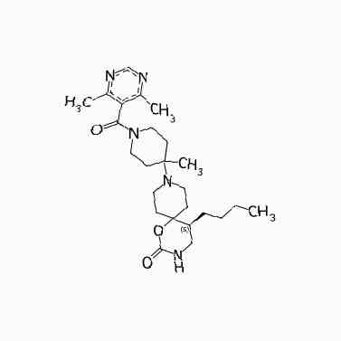 CCCC[C@H]1CNC(=O)OC12CCN(C1(C)CCN(C(=O)c3c(C)ncnc3C)CC1)CC2